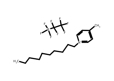 CCCCCCCCCC[n+]1ccc(C)cc1.F[B-](F)(F)C(F)(F)C(F)(F)F